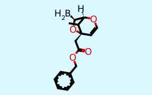 B[C@@H]1O[C@@]2(CC(=O)OCc3ccccc3)C=CO[C@H]1C2C